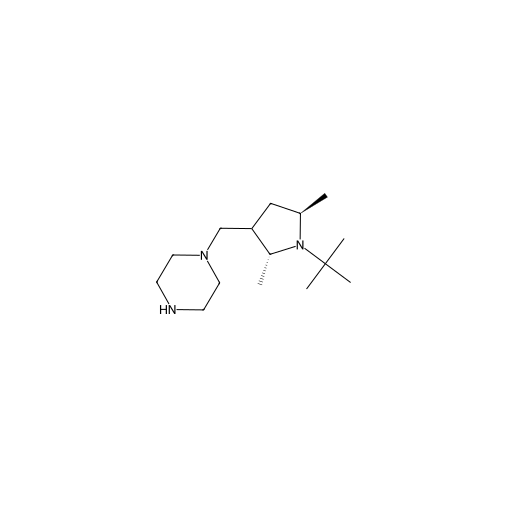 C[C@@H]1CC(CN2CCNCC2)[C@@H](C)N1C(C)(C)C